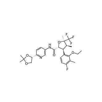 CCOc1c([C@H]2[C@H](C(=O)Nc3ccc([C@@H]4COC(C)(C)O4)nc3)O[C@@](C)(C(F)(F)F)[C@H]2C)ccc(F)c1C